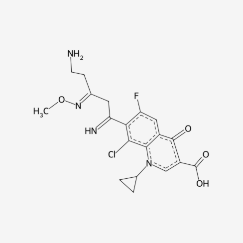 CON=C(CCN)CC(=N)c1c(F)cc2c(=O)c(C(=O)O)cn(C3CC3)c2c1Cl